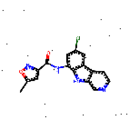 Cc1cc(C(=O)Nc2cc(Cl)cc3c2[nH]c2cnccc23)no1